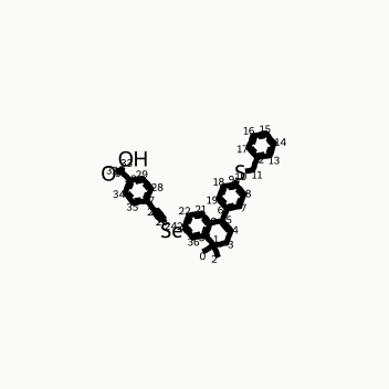 CC1(C)CC=C(c2ccc(SCc3ccccc3)cc2)c2ccc([Se]C#Cc3ccc(C(=O)O)cc3)cc21